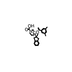 C=C(OCC1(N2CCN(C(=O)O)CC2)Cc2ccccc2C1)c1cc(C)cc(C)c1